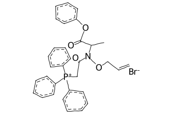 C=CCON(C(=O)C[P+](c1ccccc1)(c1ccccc1)c1ccccc1)C(C)C(=O)Oc1ccccc1.[Br-]